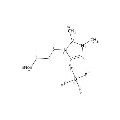 CCCCCCCCCCCCN1C=CN(C)C1C.F[B-](F)(F)F